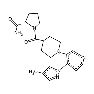 Cc1cnn(-c2ccncc2N2CCC(C(=O)N3CCC[C@H]3C(N)=O)CC2)c1